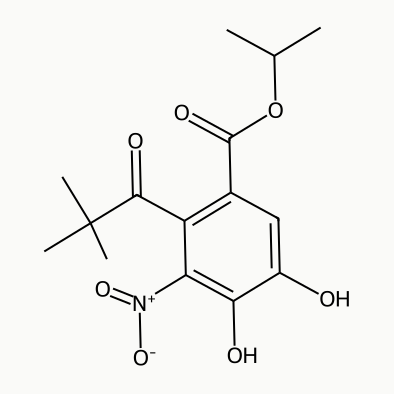 CC(C)OC(=O)c1cc(O)c(O)c([N+](=O)[O-])c1C(=O)C(C)(C)C